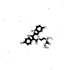 CN(CCNC(=O)c1c(-c2cc3cc(Cl)ccc3[nH]2)[nH]c2cc(Br)ccc12)C(=O)OC(C)(C)C